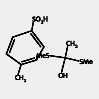 CSC(C)(O)SC.Cc1ccc(S(=O)(=O)O)cc1